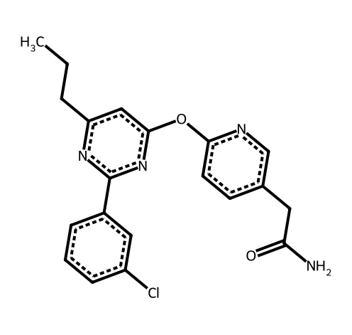 CCCc1cc(Oc2ccc(CC(N)=O)cn2)nc(-c2cccc(Cl)c2)n1